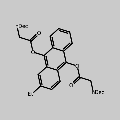 CCCCCCCCCCCC(=O)Oc1c2ccccc2c(OC(=O)CCCCCCCCCCC)c2cc(CC)ccc12